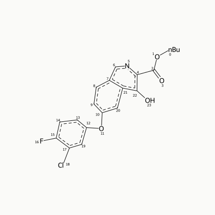 CCCCOC(=O)c1ncc2ccc(Oc3ccc(F)c(Cl)c3)cc2c1O